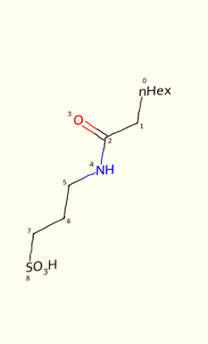 CCCCCCCC(=O)NCCCS(=O)(=O)O